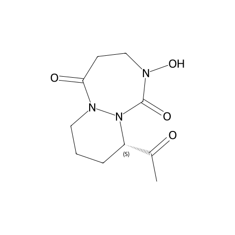 CC(=O)[C@@H]1CCCN2C(=O)CCN(O)C(=O)N12